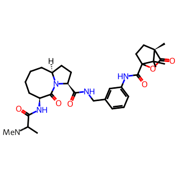 CNC(C)C(=O)N[C@H]1CCCC[C@H]2CC[C@@H](C(=O)NCc3cccc(NC(=O)C45CC[C@](C)(C(=O)O4)C5(C)C)c3)N2C1=O